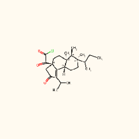 CCC(C)[C@@]1(C)CC[C@@H]2C3=C(C(C)C)C(=O)C[C@]3(C(=O)C(=O)Cl)CC[C@@]2(C)[C@H]1C